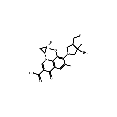 COc1c(N2CC(CF)C(C)(N)C2)c(F)cc2c(=O)c(C(=O)O)cn([C@@H]3C[C@@H]3F)c12